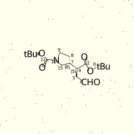 CC(C)(C)OC(=O)[C@@H](CC=O)[C@H]1CCN(C(=O)OC(C)(C)C)C1